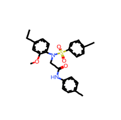 CCc1ccc(N(CC(=O)Nc2ccc(C)cc2)S(=O)(=O)c2ccc(C)cc2)c(OC)c1